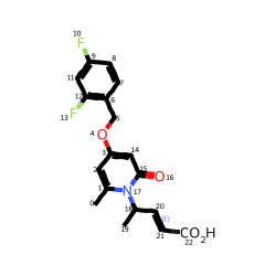 Cc1cc(OCc2ccc(F)cc2F)cc(=O)n1C(C)/C=C/C(=O)O